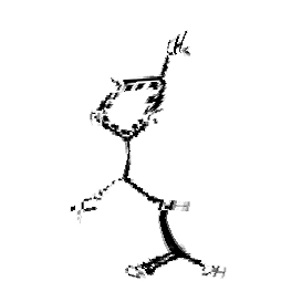 Cc1nnc([C@@H](C)NC(=O)O)s1